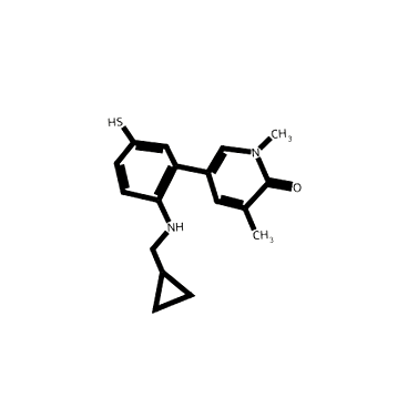 Cc1cc(-c2cc(S)ccc2NCC2CC2)cn(C)c1=O